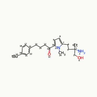 CCC(N)(CO)CCc1ccc(C(=O)CCCc2ccc(C(C)(C)C)cc2)n1C